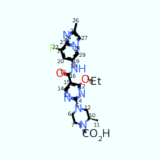 CCOc1nc(N2CCN(C(=O)O)[C@H](C)C2)ncc1C(=O)Nc1cc(F)c2nc(C)cn2c1